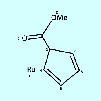 COC(=O)C1C=CC=C1.[Ru]